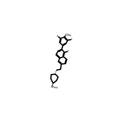 CCCCC[C@H]1CC[C@H](CCc2ccc3c(F)c(-c4cc(F)c(OC)c(F)c4)ccc3c2)CC1